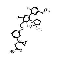 COc1ccc(F)c(-c2cc(F)c(COc3cccc([C@H](CC(=O)O)C4CC4)c3)cc2[C@H]2CCCC2(C)C)c1